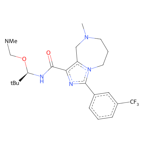 CNCO[C@@H](NC(=O)c1nc(-c2cccc(C(F)(F)F)c2)n2c1CN(C)CCC2)C(C)(C)C